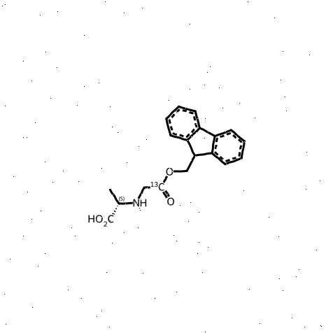 C[C@H](NC[13C](=O)OCC1c2ccccc2-c2ccccc21)C(=O)O